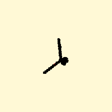 CCCCCCCCCCCCCCCCCC[N+](C)(C)CCCCCCCCCCCCCCCCCC.O=[N+]([O-])C1(Br)COCOC1.[Cl-]